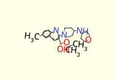 Cc1ccc2nc(N3CCC(NC4CCOCC4)CC3)c(C(O)OC(C)C)cc2c1